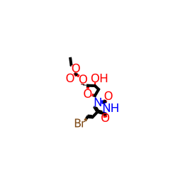 CCOC(=O)OC[C@H]1O[C@@H](n2cc(C=CBr)c(=O)[nH]c2=O)C[C@@H]1O